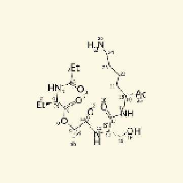 CCC(=O)N[C@H](CC)C(=O)O[C@@H](C)C(=O)N[C@@H](CO)C(=O)N[C@H](CCCCN)C(C)=O